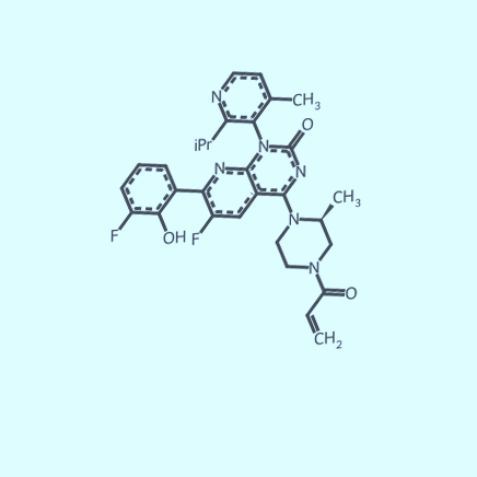 C=CC(=O)N1CCN(c2nc(=O)n(-c3c(C)ccnc3C(C)C)c3nc(-c4cccc(F)c4O)c(F)cc23)[C@@H](C)C1